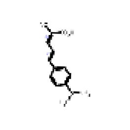 CN(C)c1ccc(/C=C/C=C(/C#N)C(=O)O)cc1